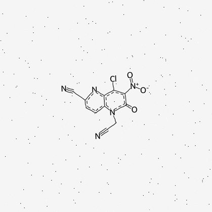 N#CCn1c(=O)c([N+](=O)[O-])c(Cl)c2nc(C#N)ccc21